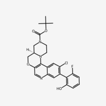 CC(C)(C)OC(=O)N1CCN2c3c(cnc4cc(-c5c(O)cccc5F)c(Cl)cc34)OC[C@H]2C1